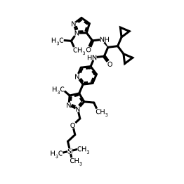 CCc1c(-c2ccc(NC(=O)[C@@H](NC(=O)c3ccnn3C(C)C)C(C3CC3)C3CC3)cn2)c(C)nn1COCC[Si](C)(C)C